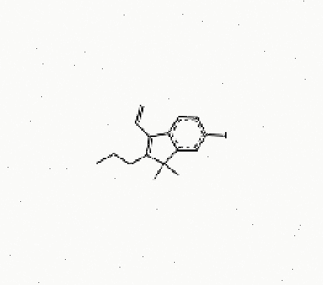 C=CC1=C(CCC)C(C)(C)c2cc(I)ccc21